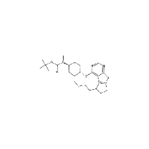 COCCC1CCc2sc3ncnc(O[C@H]4CC[C@H](N(C)C(=O)OC(C)(C)C)CC4)c3c21